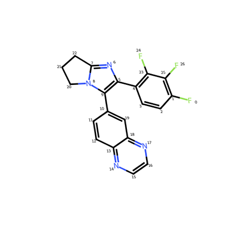 Fc1ccc(-c2nc3n(c2-c2ccc4nccnc4c2)CCC3)c(F)c1F